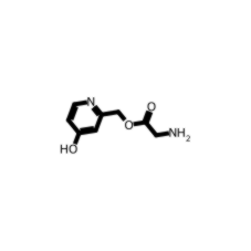 NCC(=O)OCc1cc(O)ccn1